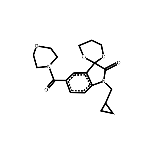 O=C(c1ccc2c(c1)C1(OCCCO1)C(=O)N2CC1CC1)N1CCOCC1